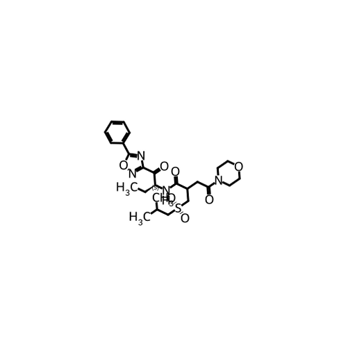 CC[C@H](NC(=O)C(CC(=O)N1CCOCC1)CS(=O)(=O)CC(C)C)C(=O)c1noc(-c2ccccc2)n1